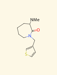 CNC1CCCCN(Cc2ccsc2)C1=O